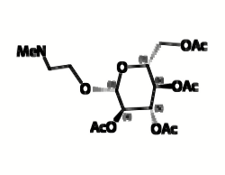 CNCCO[C@@H]1O[C@H](COC(C)=O)[C@@H](OC(C)=O)[C@H](OC(C)=O)[C@H]1OC(C)=O